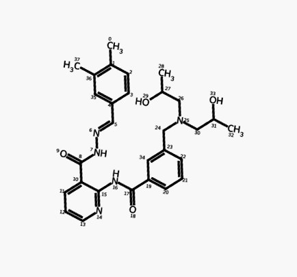 Cc1ccc(C=NNC(=O)c2cccnc2NC(=O)c2cccc(CN(CC(C)O)CC(C)O)c2)cc1C